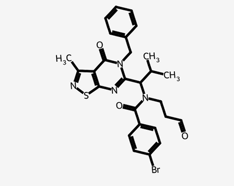 Cc1nsc2nc(C(C(C)C)N(CCC=O)C(=O)c3ccc(Br)cc3)n(Cc3ccccc3)c(=O)c12